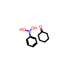 O=C1CCCCC1.ON(O)c1ccccc1